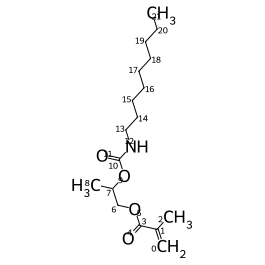 C=C(C)C(=O)OCC(C)OC(=O)NCCCCCCCCC